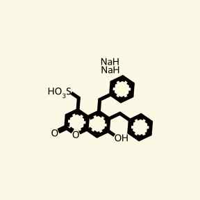 O=c1cc(CS(=O)(=O)O)c2c(Cc3ccccc3)c(Cc3ccccc3)c(O)cc2o1.[NaH].[NaH]